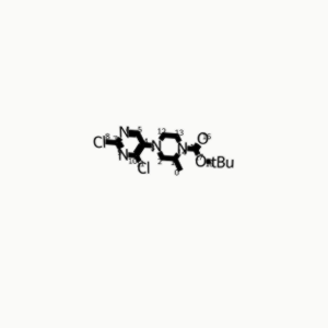 CC1CN(c2cnc(Cl)nc2Cl)CCN1C(=O)OC(C)(C)C